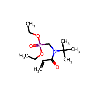 C=CC(=O)N(CP(=O)(OCC)OCC)C(C)(C)C